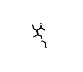 CCSC/C(C)=C(/CC)C(C)=O